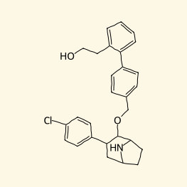 OCCc1ccccc1-c1ccc(COC2C3CCC(CC2c2ccc(Cl)cc2)N3)cc1